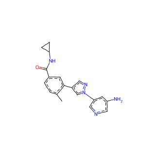 Cc1ccc(C(=O)NC2CC2)cc1-c1cnn(-c2cncc(N)c2)c1